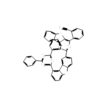 N#Cc1ccccc1-c1nc(-c2ccc3oc4cccc(-c5nc(-c6ccccc6)nc(-c6ccccc6)n5)c4c3c2)nc2c1sc1ccccc12